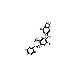 Cc1cc(OCc2ccccc2)c(Br)cc1Cc1ccc2c(c1)CC2